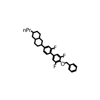 CCCC1CCC2CC(c3ccc(-c4cc(F)c(OCc5ccccc5)c(F)c4)c(F)c3)CCC2C1